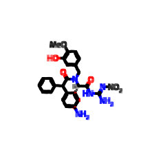 COc1ccc(CN(C(=O)C(c2ccccc2)c2ccccc2)[C@@H](CCCN)C(=O)NC(N)=N[N+](=O)[O-])cc1O